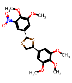 COc1cc([C@H]2CS[C@H](c3cc(OC)c(OC)c([N+](=O)[O-])c3)S2)cc(OC)c1OC